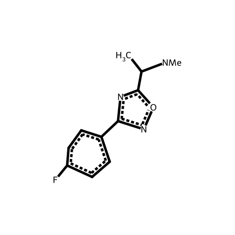 CNC(C)c1nc(-c2ccc(F)cc2)no1